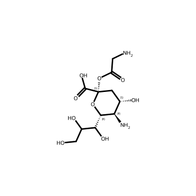 NCC(=O)O[C@]1(C(=O)O)C[C@H](O)[C@@H](N)[C@H](C(O)C(O)CO)O1